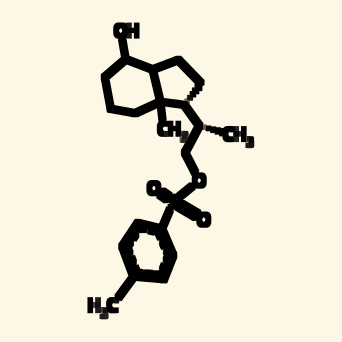 Cc1ccc(S(=O)(=O)OC[C@@H](C)[C@H]2CCC3C(O)CCCC32C)cc1